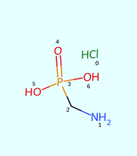 Cl.NCP(=O)(O)O